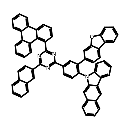 c1ccc2cc(-c3nc(-c4ccc(-n5c6ccccc6c6cc7ccccc7cc65)c(-c5ccc6c(c5)oc5ccccc56)c4)nc(-c4cccc5c6ccccc6c6ccccc6c45)n3)ccc2c1